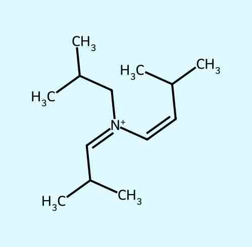 CC(C)/C=C\[N+](=C/C(C)C)CC(C)C